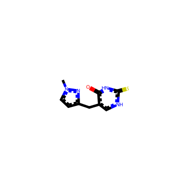 Cn1ccc(Cc2c[nH]c(=S)[nH]c2=O)n1